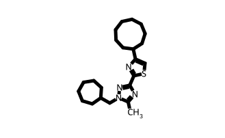 Cc1nc(-c2nc(C3CCCCCCCC3)cs2)nn1CC1CCCCCC1